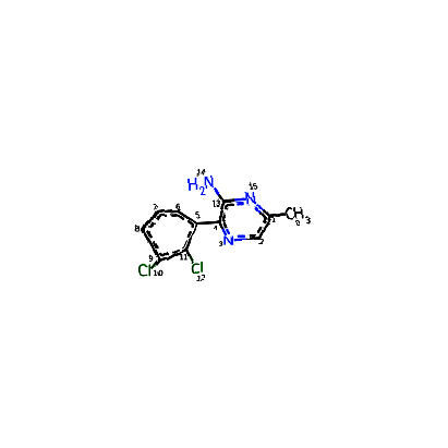 Cc1cnc(-c2cccc(Cl)c2Cl)c(N)n1